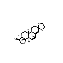 C[C@]12CC[C@H]3[C@@H](C=CC4=CC5(CC[C@@]43CO)SCCS5)[C@@H]1CCC2=O